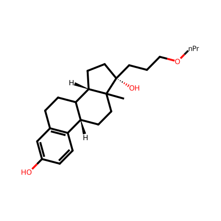 CCCOCCC[C@]1(O)CC[C@H]2C3CCc4cc(O)ccc4[C@H]3CCC21C